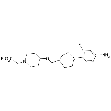 CCOC(=O)CN1CCC(OCC2CCN(c3ccc(N)cc3F)CC2)CC1